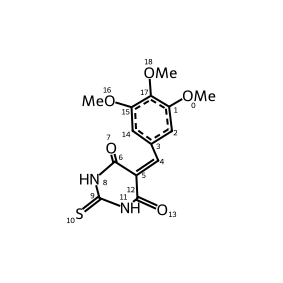 COc1cc(C=C2C(=O)NC(=S)NC2=O)cc(OC)c1OC